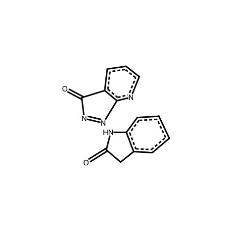 O=C1Cc2ccccc2N1.O=C1N=Nc2ncccc21